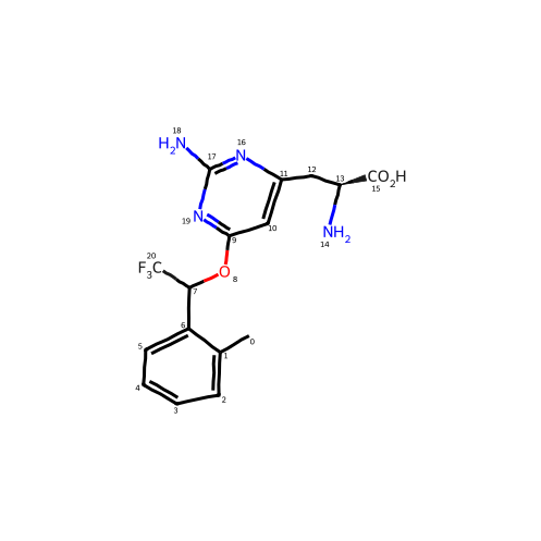 Cc1ccccc1C(Oc1cc(C[C@H](N)C(=O)O)nc(N)n1)C(F)(F)F